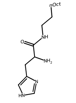 CCCCCCCCCCNC(=O)C(N)Cc1c[nH]cn1